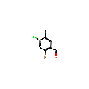 Cc1cc(C=O)c(Br)cc1Cl